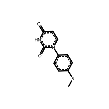 CSc1ccc(-n2ccc(=O)[nH]c2=O)cc1